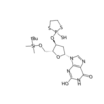 CC(C)(C)[Si](C)(C)OC[C@H]1O[C@@H](n2cnc3c(=O)[nH]c(O)nc32)C[C@@H]1O[P]1(S)SCCS1